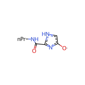 CCCNC(=O)c1nc([O])c[nH]1